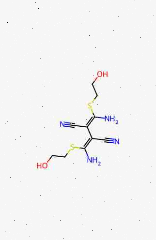 N#CC(=C(N)SCCO)C(C#N)=C(N)SCCO